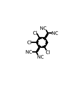 [C-]#[N+]/C(C#N)=c1\cc(Cl)/c(=C(/C#N)[N+]#[C-])c(Cl)c1Cl